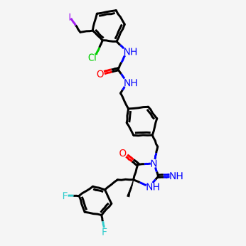 C[C@]1(Cc2cc(F)cc(F)c2)NC(=N)N(Cc2ccc(CNC(=O)Nc3cccc(CI)c3Cl)cc2)C1=O